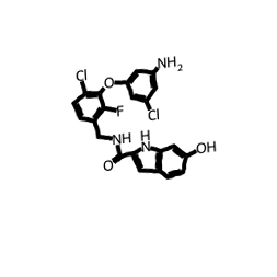 Nc1cc(Cl)cc(Oc2c(Cl)ccc(CNC(=O)c3cc4ccc(O)cc4[nH]3)c2F)c1